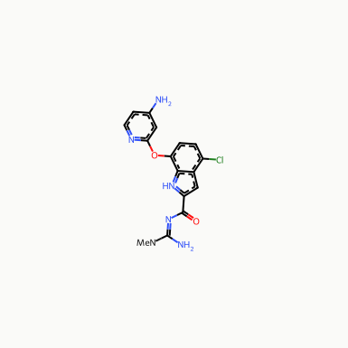 CNC(N)=NC(=O)c1cc2c(Cl)ccc(Oc3cc(N)ccn3)c2[nH]1